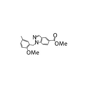 COC(=O)c1ccc2c(cnn2Cc2cc(C)ccc2OC)c1